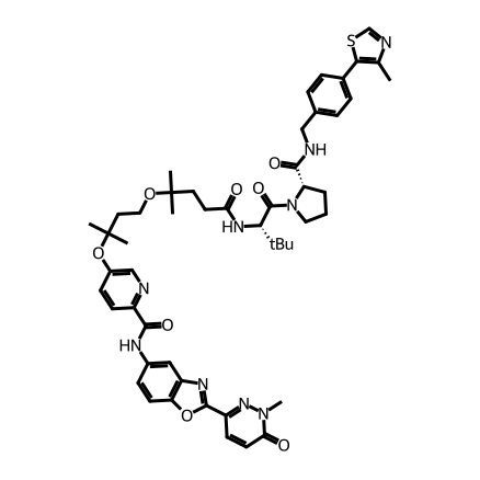 Cc1ncsc1-c1ccc(CNC(=O)[C@@H]2CCCN2C(=O)[C@@H](NC(=O)CCC(C)(C)OCCC(C)(C)Oc2ccc(C(=O)Nc3ccc4oc(-c5ccc(=O)n(C)n5)nc4c3)nc2)C(C)(C)C)cc1